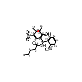 CCCCC(=O)NC(C(/C=C(\C(C)C)[N+](=O)[O-])=C(\O)C(C)C)c1ccccc1Cl